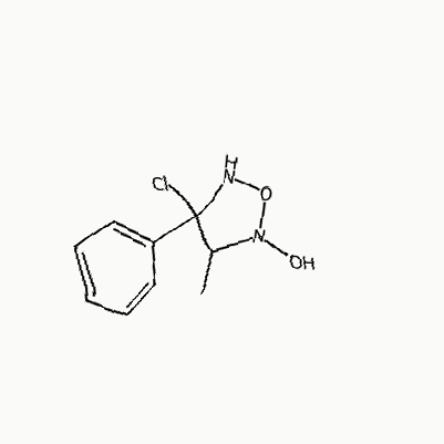 CC1N(O)ONC1(Cl)c1ccccc1